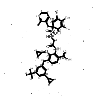 Cc1ncccc1CC1(S(=O)(=O)NCC(=O)Nc2c(C(=O)O)ccc(Cc3cc(C4CC4)cc(C(C)(C)C)c3)c2OC2CC2)C(F)=C(F)C(F)=C(F)C1Cl